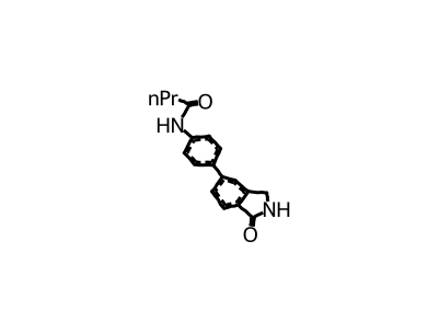 CCCC(=O)Nc1ccc(-c2ccc3c(c2)CNC3=O)cc1